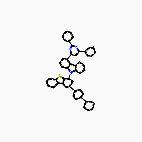 c1ccc(-c2ccc(-c3cc(-n4c5ccccc5c5c(-c6cc(-c7ccccc7)nc(-c7ccccc7)n6)cccc54)c4sc5ccccc5c4c3)cc2)cc1